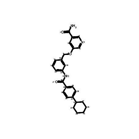 NC(=O)c1cncc(OCc2cccc(NC(=O)c3ccc(C4CCCCC4)cc3)c2)c1